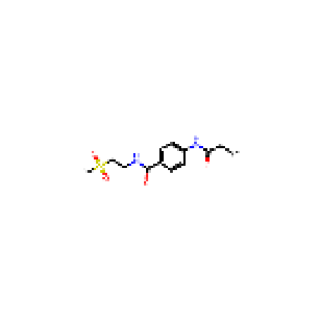 CC(C)CC(=O)Nc1ccc(C(=O)NCCS(=O)(=O)C(C)C)cc1